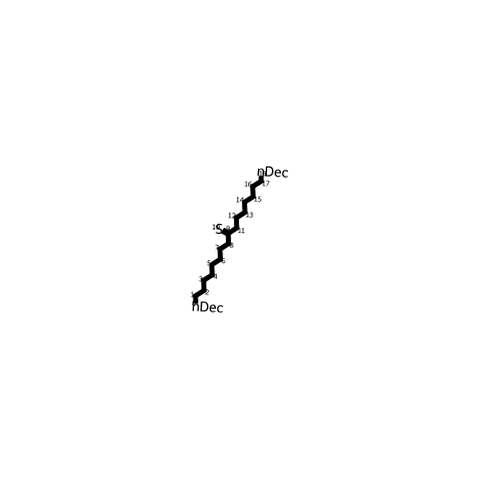 CCCCCCCCCCCCCCCCCCC(=S)CCCCCCCCCCCCCCCCC